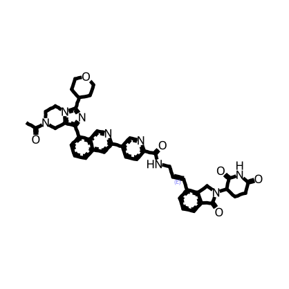 CC(=O)N1CCn2c(C3CCOCC3)nc(-c3cccc4cc(-c5ccc(C(=O)NC/C=C/c6cccc7c6CN(C6CCC(=O)NC6=O)C7=O)nc5)ncc34)c2C1